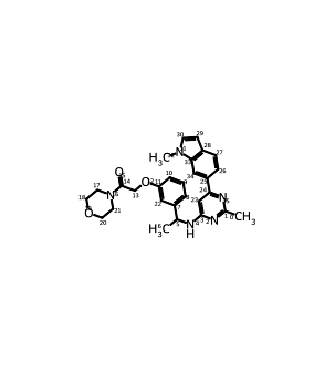 Cc1nc(NC(C)c2cccc(OCC(=O)N3CCOCC3)c2)cc(-c2ccc3ccn(C)c3c2)n1